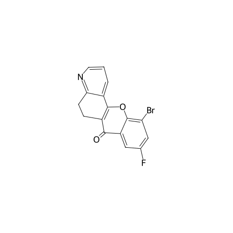 O=c1c2c(oc3c(Br)cc(F)cc13)-c1cccnc1CC2